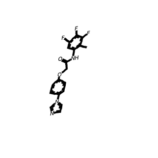 Cc1c(NC(=O)COc2ccc(-n3ccnc3)cc2)cc(F)c(F)c1F